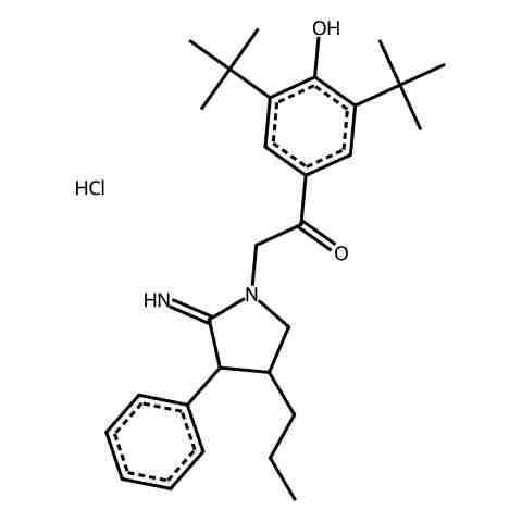 CCCC1CN(CC(=O)c2cc(C(C)(C)C)c(O)c(C(C)(C)C)c2)C(=N)C1c1ccccc1.Cl